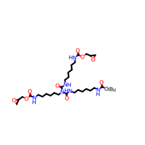 CC(C)COC(=O)NCCCCCCNC(=O)N(CCCCCCNC(=O)OCC1CO1)C(=O)NCCCCCCNC(=O)OCC1CO1